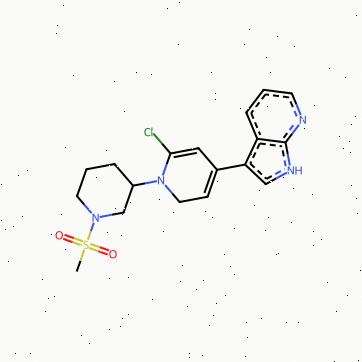 CS(=O)(=O)N1CCCC(N2CC=C(c3c[nH]c4ncccc34)C=C2Cl)C1